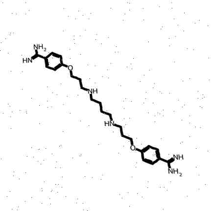 N=C(N)c1ccc(OCCCNCCCCNCCCOc2ccc(C(=N)N)cc2)cc1